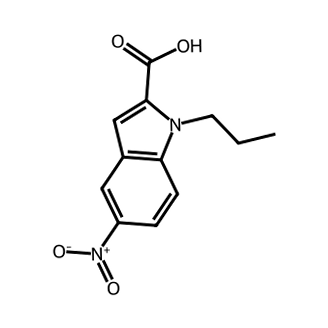 CCCn1c(C(=O)O)cc2cc([N+](=O)[O-])ccc21